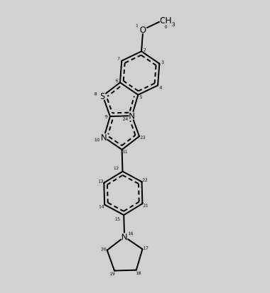 COc1ccc2c(c1)sc1nc(-c3ccc(N4CCCC4)cc3)cn12